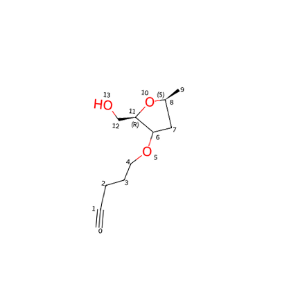 C#CCCCOC1C[C@H](C)O[C@@H]1CO